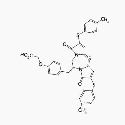 Cc1ccc(SC2=CC3=S=C4C=C(Sc5ccc(C)cc5)C(=O)N4C(Cc4ccc(OCC(=O)O)cc4)CN3C2=O)cc1